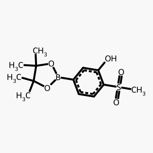 CC1(C)OB(c2ccc(S(C)(=O)=O)c(O)c2)OC1(C)C